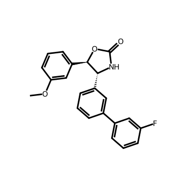 COc1cccc([C@H]2OC(=O)N[C@@H]2c2cccc(-c3cccc(F)c3)c2)c1